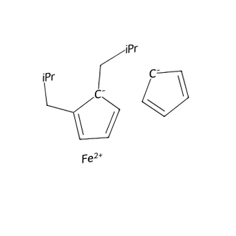 CC(C)Cc1ccc[c-]1CC(C)C.[Fe+2].c1cc[cH-]c1